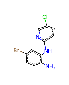 Nc1ccc(Br)cc1Nc1ccc(Cl)cn1